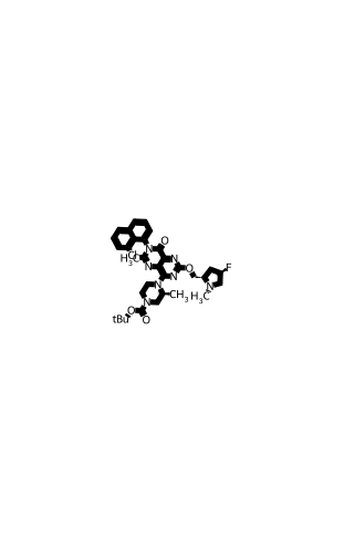 Cc1nc2c(N3CCN(C(=O)OC(C)(C)C)C[C@@H]3C)nc(OC[C@@H]3C[C@@H](F)CN3C)nc2c(=O)n1-c1cccc2cccc(Cl)c12